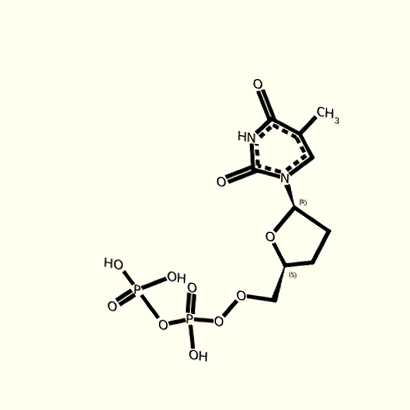 Cc1cn([C@H]2CC[C@@H](COOP(=O)(O)OP(=O)(O)O)O2)c(=O)[nH]c1=O